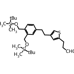 CC(C)(C)[Si](C)(C)OCc1ccc(CCc2csc(CCC=O)c2)cc1CO[Si](C)(C)C(C)(C)C